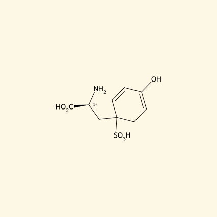 N[C@@H](CC1(S(=O)(=O)O)C=CC(O)=CC1)C(=O)O